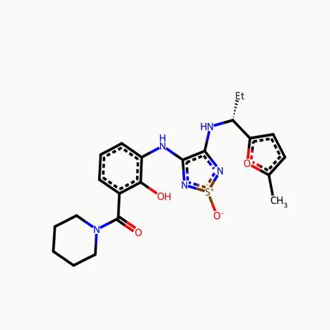 CC[C@@H](Nc1n[s+]([O-])nc1Nc1cccc(C(=O)N2CCCCC2)c1O)c1ccc(C)o1